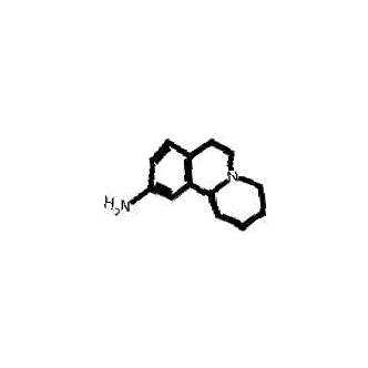 Nc1ccc2c(c1)C1CCCCN1CC2